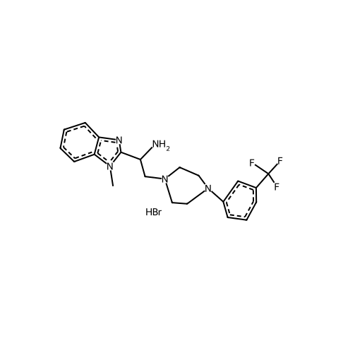 Br.Cn1c(C(N)CN2CCN(c3cccc(C(F)(F)F)c3)CC2)nc2ccccc21